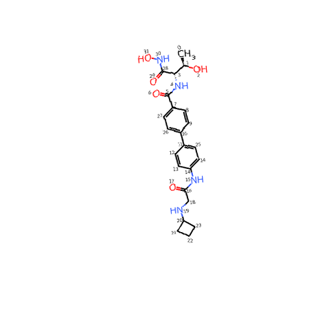 C[C@@H](O)[C@H](NC(=O)c1ccc(-c2ccc(NC(=O)CNC3CCC3)cc2)cc1)C(=O)NO